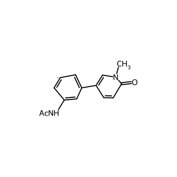 CC(=O)Nc1c[c]cc(-c2ccc(=O)n(C)c2)c1